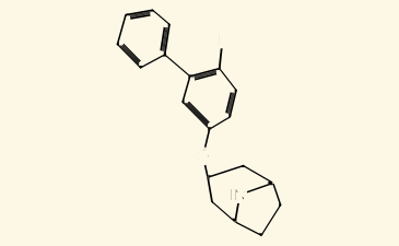 Fc1ccc(OC2CC3CCC(C2)N3)cc1-c1ccccc1